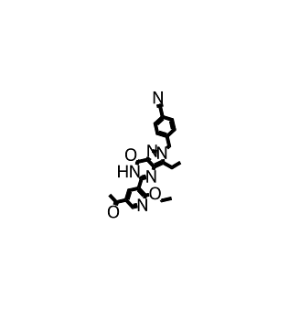 CCOc1ncc(C(C)=O)cc1-c1nc2c(CC)n(Cc3ccc(C#N)cc3)nc2c(=O)[nH]1